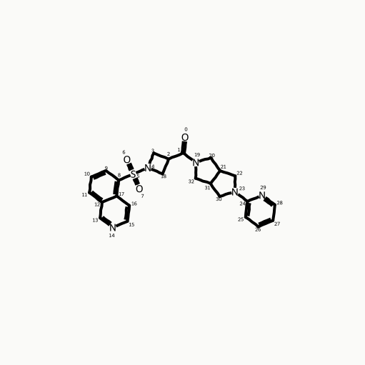 O=C(C1CN(S(=O)(=O)c2cccc3cnccc23)C1)N1CC2CN(c3ccccn3)CC2C1